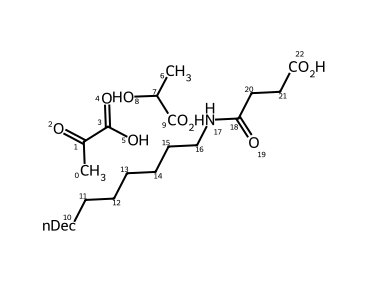 CC(=O)C(=O)O.CC(O)C(=O)O.CCCCCCCCCCCCCCCCNC(=O)CCC(=O)O